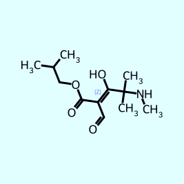 CNC(C)(C)/C(O)=C(\C=O)C(=O)OCC(C)C